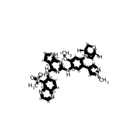 COc1cc(N2C[C@@H]3C[C@H]2CO3)c(-c2cnn(C)c2)cc1Nc1nc(Nc2ccc3nccnc3c2P(C)(C)=O)c2cc[nH]c2n1